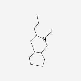 CCCC1CC2CCCCC2CN1I